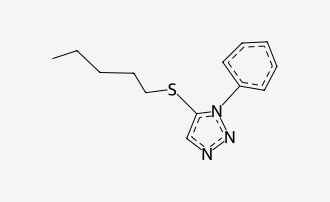 CCCCCSc1cnnn1-c1ccccc1